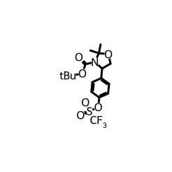 CC(C)(C)OC(=O)N1C(c2ccc(OS(=O)(=O)C(F)(F)F)cc2)COC1(C)C